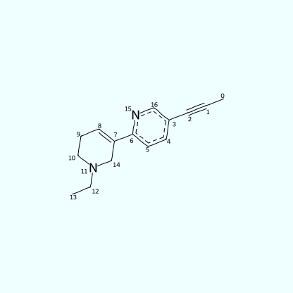 CC#Cc1ccc(C2=CCCN(CC)C2)nc1